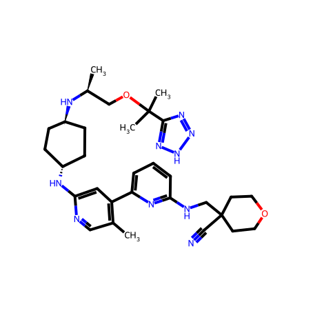 Cc1cnc(N[C@H]2CC[C@H](N[C@@H](C)COC(C)(C)c3nn[nH]n3)CC2)cc1-c1cccc(NCC2(C#N)CCOCC2)n1